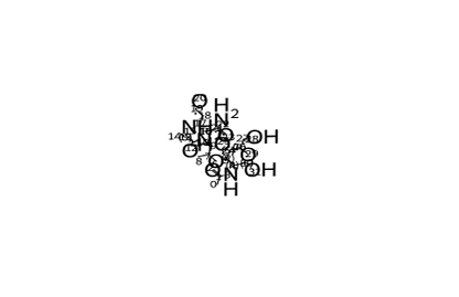 CC(=O)N[C@@H]1[C@@H](OC(C)CN(C(=O)[C@H](C)N)[C@H](CC[C]=O)C(N)=O)[C@H](O)[C@@H](CO)O[C@@H]1O